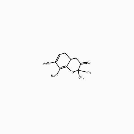 COC1=CCC2CC(=[Se])C(C)(C)OC2=C1OC